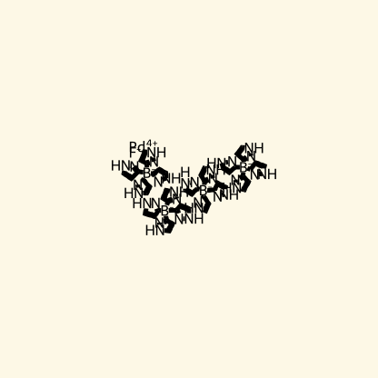 [F-].[Pd+4].c1cc([B-](c2cc[nH]n2)(c2cc[nH]n2)c2cc[nH]n2)n[nH]1.c1cc([B-](c2cc[nH]n2)(c2cc[nH]n2)c2cc[nH]n2)n[nH]1.c1cc([B-](c2cc[nH]n2)(c2cc[nH]n2)c2cc[nH]n2)n[nH]1.c1cc([B-](c2cc[nH]n2)(c2cc[nH]n2)c2cc[nH]n2)n[nH]1